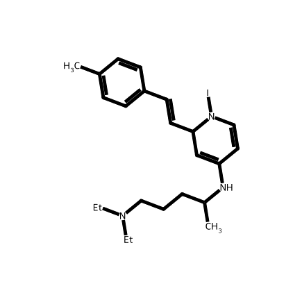 CCN(CC)CCCC(C)NC1=CC(/C=C/c2ccc(C)cc2)N(I)C=C1